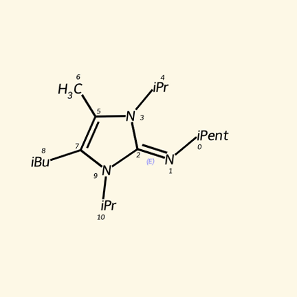 CCCC(C)/N=c1\n(C(C)C)c(C)c(C(C)CC)n1C(C)C